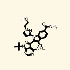 CC(C)(C)n1nc(-c2c(Cl)c3ccc(C(N)=O)cc3n2-c2ccn(CCO)n2)c2c(N)ncnc21